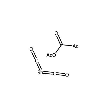 CC(=O)OC(=O)C(C)=O.O=[C]=[Rh]=[C]=O